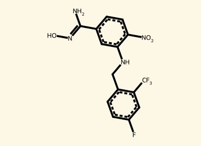 NC(=NO)c1ccc([N+](=O)[O-])c(NCc2ccc(F)cc2C(F)(F)F)c1